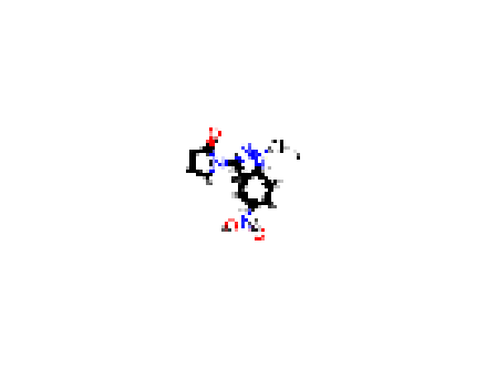 Cn1nc(N2CCCC2=O)c2cc([N+](=O)[O-])ccc21